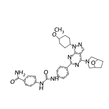 COC1CCC(n2ncc3c(N4CC5CCC(C4)O5)nc(-c4ccc(NC(=O)Nc5ccc(C(N)=O)cc5)cc4)nc32)CC1